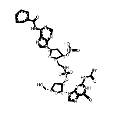 CC(C)C(=O)Nc1nc2c(ncn2[C@@H]2O[C@H](CO)C[C@H]2OS(=O)(=O)NC[C@H]2O[C@@H](n3cnc4c(NC(=O)c5ccccc5)ncnc43)C[C@@H]2O[PH](=O)O)c(=O)[nH]1